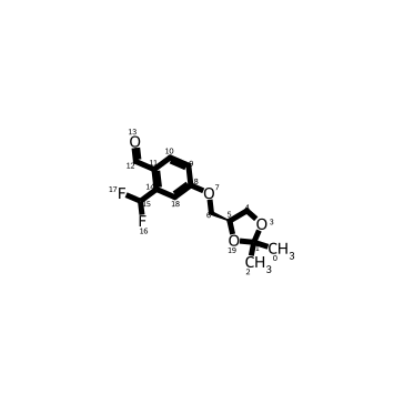 CC1(C)OC[C@H](COc2ccc(C=O)c(C(F)F)c2)O1